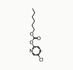 CCCCCCOC(=O)Oc1c[c]c(Cl)cn1